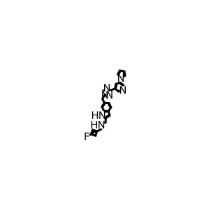 FC12CC(CNCc3cc4ccc(Cn5cnc(-c6cncc(-n7cccc7)c6)n5)cc4[nH]3)(C1)C2